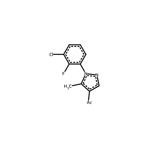 CC(=O)c1cnn(-c2cccc(Cl)c2F)c1C